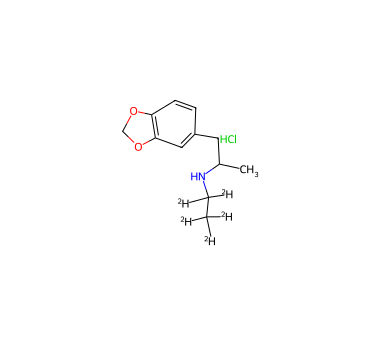 Cl.[2H]C([2H])([2H])C([2H])([2H])NC(C)Cc1ccc2c(c1)OCO2